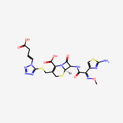 CO/N=C(/C(=O)NC1C(=O)N2C(C(=O)O)=C(CSc3nnnn3/C=C/CC(=O)O)CS[C@H]12)c1csc(N)n1